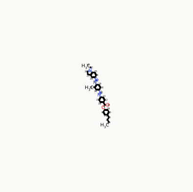 CCCCc1ccc(OC(=O)c2ccc(N=Nc3ccc(N=Nc4ccc5c(c4)CCN5CC)c(C)c3)cc2)cc1